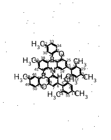 Cc1cc(C)c(-c2cc3c4c(c2)N2c5cc(-c6c(C)cc(C)cc6C)cc6c5B(c5cc(C)ccc5O6)c5cc(C)cc(c52)B4c2cc(C)ccc2O3)c(C)c1